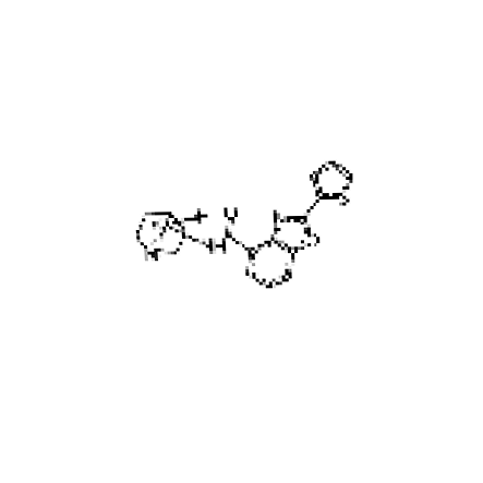 O=C(N[C@@H]1CN2CCC1CC2)c1cccc2oc(-c3cccs3)nc12